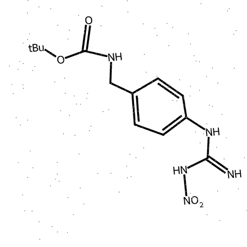 CC(C)(C)OC(=O)NCc1ccc(NC(=N)N[N+](=O)[O-])cc1